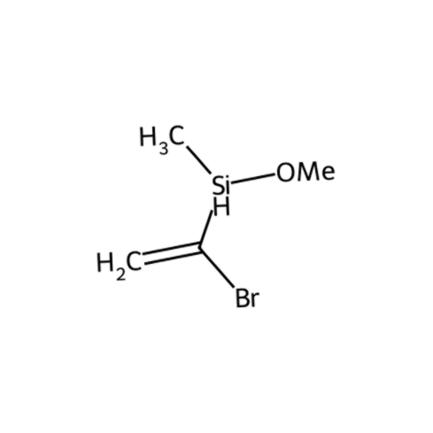 C=C(Br)[SiH](C)OC